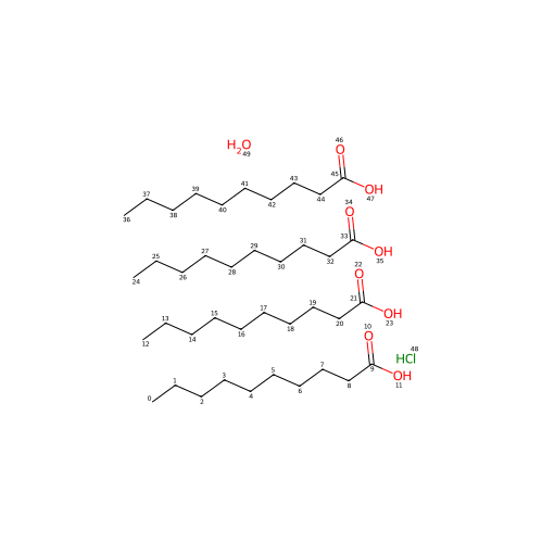 CCCCCCCCCC(=O)O.CCCCCCCCCC(=O)O.CCCCCCCCCC(=O)O.CCCCCCCCCC(=O)O.Cl.O